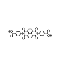 O=C(O)c1ccc(N2C(=O)c3ccc4c5c(ccc(c35)C2=O)C(=O)N(c2ccc(C(=O)O)cc2)C4=O)cc1